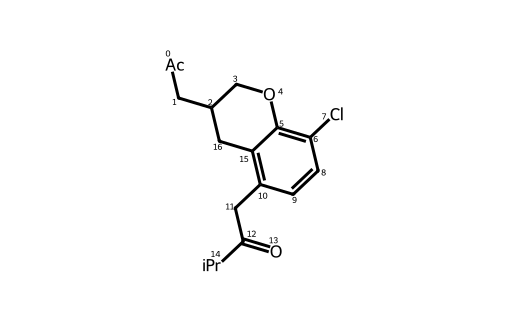 CC(=O)CC1COc2c(Cl)ccc(CC(=O)C(C)C)c2C1